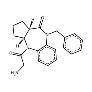 NCC(=O)N1c2ccccc2N(Cc2ccccc2)C(=O)[C@H]2CCC[C@H]21